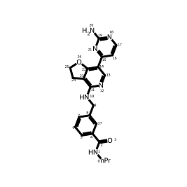 CCCNC(=O)c1cccc(CNc2ncc(-c3ccnc(N)n3)c3c2CCO3)c1